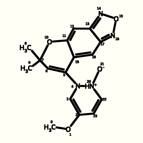 COC1=CN(C2=CC(C)(C)Oc3cc4nonc4cc32)[NH+]([O-])C=C1